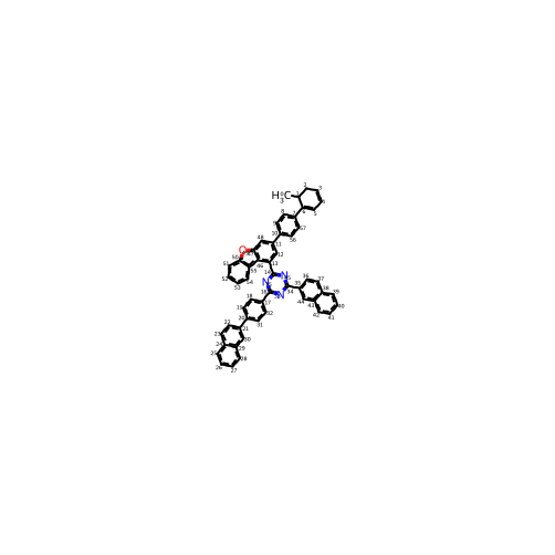 CC1CC=CC=C1c1ccc(-c2cc(-c3nc(-c4ccc(-c5ccc6ccccc6c5)cc4)nc(-c4ccc5ccccc5c4)n3)c3c(c2)oc2ccccc23)cc1